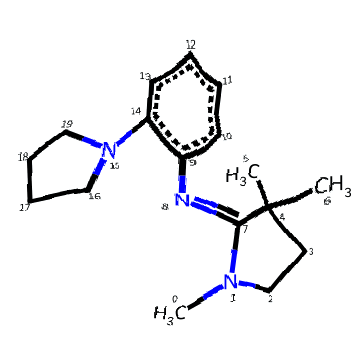 CN1CCC(C)(C)C1=Nc1ccccc1N1CCCC1